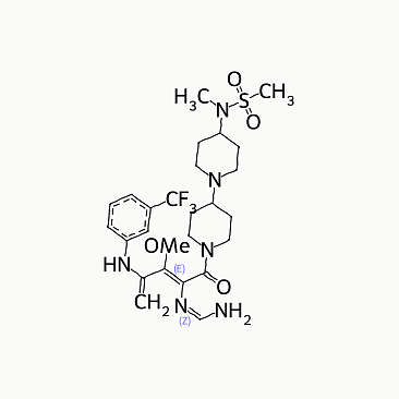 C=C(Nc1cccc(C(F)(F)F)c1)/C(OC)=C(\N=C/N)C(=O)N1CCC(N2CCC(N(C)S(C)(=O)=O)CC2)CC1